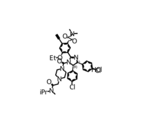 C#Cc1cc(OCC)c(C2=N[C@@H](c3ccc(Cl)cc3)[C@@H](c3ccc(Cl)cc3)N2C(=O)N2CCN(CC(=O)N(C)C(C)C)CC2)cc1S(=O)(=O)N(C)C.Cl